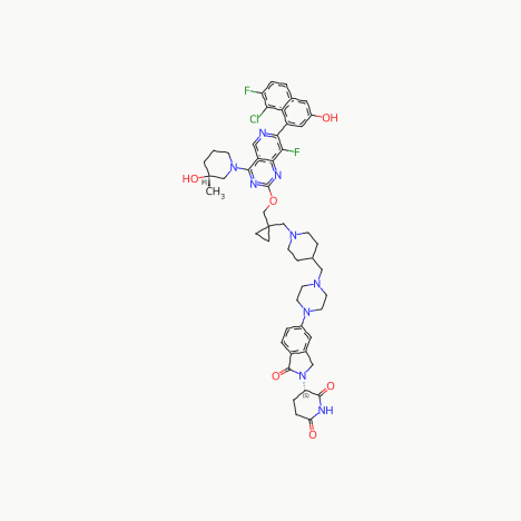 C[C@@]1(O)CCCN(c2nc(OCC3(CN4CCC(CN5CCN(c6ccc7c(c6)CN([C@H]6CCC(=O)NC6=O)C7=O)CC5)CC4)CC3)nc3c(F)c(-c4cc(O)cc5ccc(F)c(Cl)c45)ncc23)C1